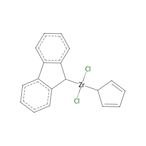 [Cl][Zr]([Cl])([CH]1C=CC=C1)[CH]1c2ccccc2-c2ccccc21